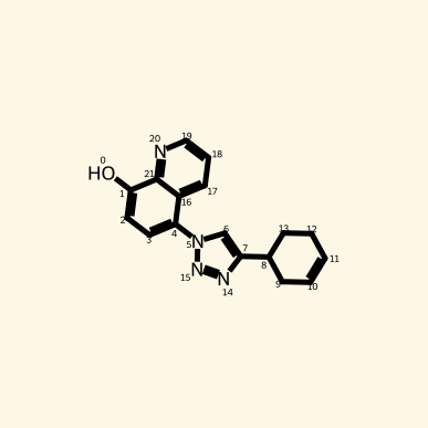 Oc1ccc(-n2cc(C3CC=CCC3)nn2)c2cccnc12